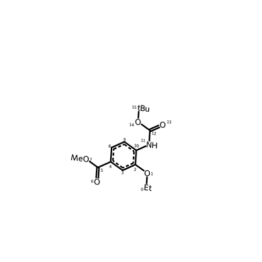 CCOc1cc(C(=O)OC)ccc1NC(=O)OC(C)(C)C